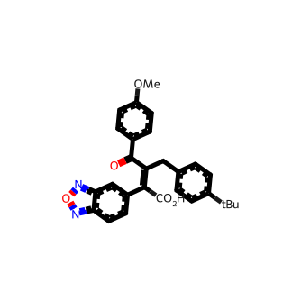 COc1ccc(C(=O)C(Cc2ccc(C(C)(C)C)cc2)=C(C(=O)O)c2ccc3nonc3c2)cc1